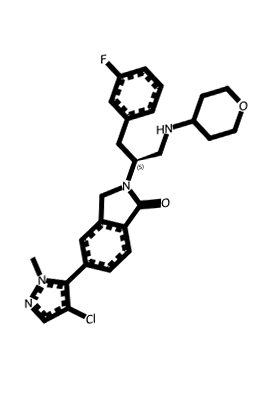 Cn1ncc(Cl)c1-c1ccc2c(c1)CN([C@H](CNC1CCOCC1)Cc1cccc(F)c1)C2=O